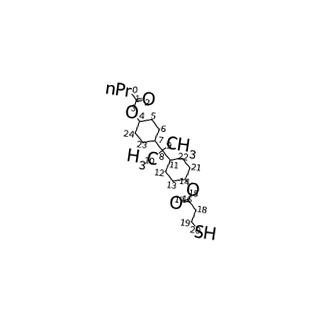 CCCC(=O)OC1CCC(C(C)(C)C2CCC(OC(=O)CCS)CC2)CC1